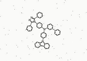 c1ccc(-c2cccc(N(c3ccc(-n4c(-c5ccccc5)nnc4-c4ccccc4)cc3)c3ccc(-n4c5ccccc5c5ccccc54)cc3)c2)cc1